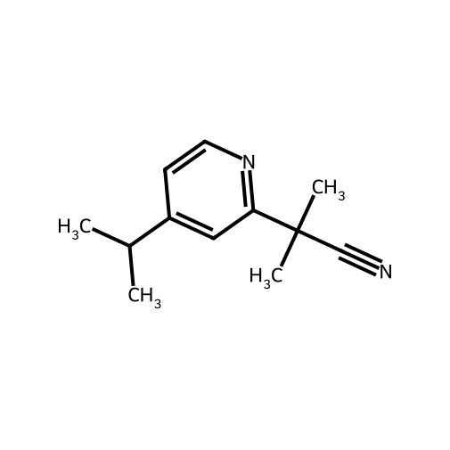 CC(C)c1ccnc(C(C)(C)C#N)c1